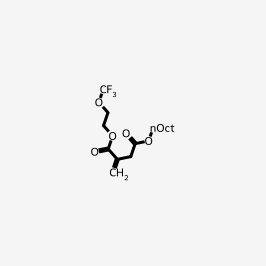 C=C(CC(=O)OCCCCCCCC)C(=O)OCCOC(F)(F)F